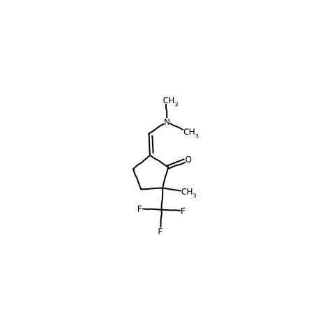 CN(C)C=C1CCC(C)(C(F)(F)F)C1=O